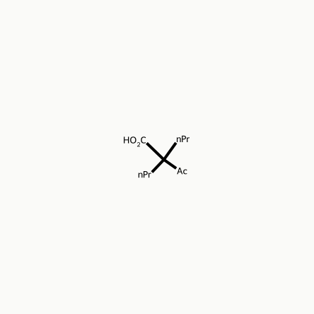 CCCC(CCC)(C(C)=O)C(=O)O